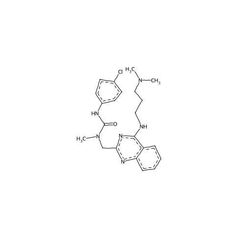 CN(C)CCCNc1nc(CN(C)C(=O)Nc2ccc(Cl)cc2)nc2ccccc12